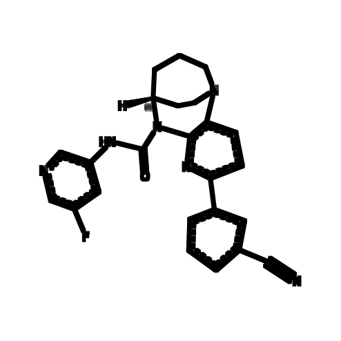 N#Cc1cccc(-c2ccc3c(n2)N(C(=O)Nc2cncc(F)c2)[C@@H]2CCCN3CC2)c1